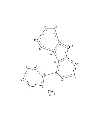 Cc1ccccc1-c1cccc2oc3ccccc3c12